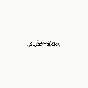 O=c1n(CCCCOc2c(Cl)cc(OCC=C(Cl)Cl)cc2Cl)cnn1-c1ccc(C(F)(F)F)cc1